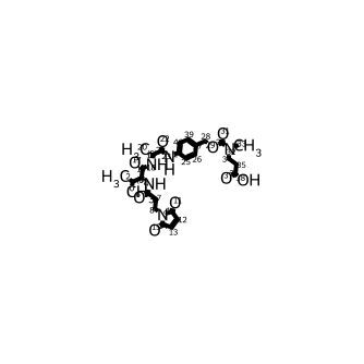 CC(C)[C@H](NC(=O)CCN1C(=O)C=CC1=O)C(=O)N[C@@H](C)C(=O)Nc1ccc(COC(=O)N(C)CCC(=O)O)cc1